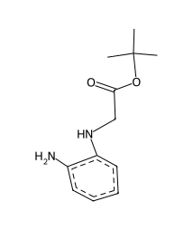 CC(C)(C)OC(=O)CNc1ccccc1N